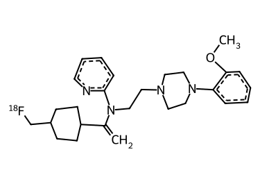 C=C(C1CCC(C[18F])CC1)N(CCN1CCN(c2ccccc2OC)CC1)c1ccccn1